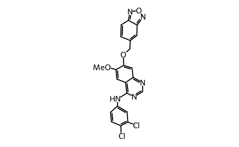 COc1cc2c(Nc3ccc(Cl)c(Cl)c3)ncnc2cc1OCc1ccc2nonc2c1